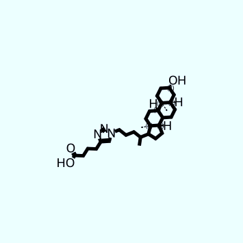 CC(CCCn1cc(CCCC(=O)O)nn1)C1CC[C@H]2C3CC[C@@H]4C[C@H](O)CC[C@]4(C)[C@@H]3CC[C@]12C